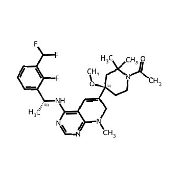 CO[C@]1(C2=Cc3c(N[C@H](C)c4cccc(C(F)F)c4F)ncnc3N(C)C2)CCN(C(C)=O)C(C)(C)C1